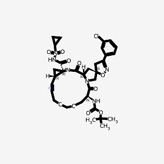 CC(C)(C)OC(=O)N[C@H]1CCCCC/C=C\[C@@H]2C[C@@]2(C(=O)NS(=O)(=O)C2CC2)NC(=O)[C@@H]2C[C@]3(CC(c4cccc(Cl)c4)=NO3)CN2C1=O